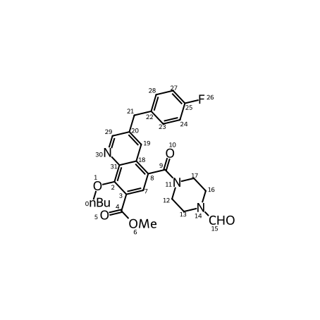 CCCCOc1c(C(=O)OC)cc(C(=O)N2CCN(C=O)CC2)c2cc(Cc3ccc(F)cc3)cnc12